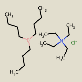 CCCCB(CCCC)CCCC.CC[N+](CC)(CC)CC.[Cl-]